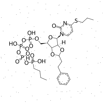 CCCCP(=O)(O)OP(=O)(O)OP(=O)(O)OP(=O)(O)OC[C@H]1O[C@@H](n2ccc(SCCC)nc2=O)[C@H]2OC(CCc3ccccc3)OC12